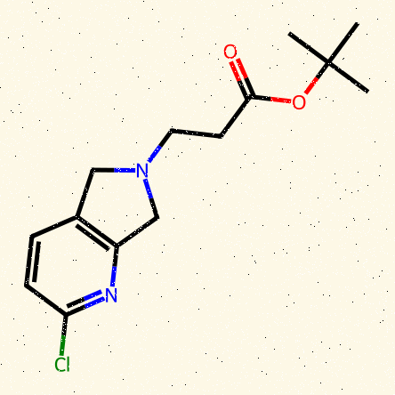 CC(C)(C)OC(=O)CCN1Cc2ccc(Cl)nc2C1